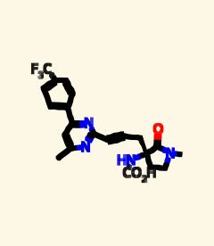 Cc1cc(-c2ccc(C(F)(F)F)cc2)nc(C#CC[C@]2(NC(=O)O)CCN(C)C2=O)n1